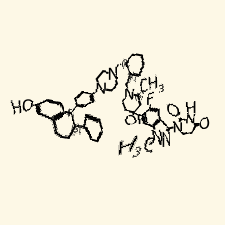 C[C@H]1CC(O)(c2cc3c(cc2F)c(N2CCC(=O)NC2=O)nn3C)CCN1C[C@@H]1CCCC[C@H]1CN1CCN(c2ccc([C@@H]3c4ccc(O)cc4CC[C@@H]3c3ccccc3)cc2)CC1